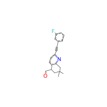 CC1(C)Cc2nc(C#Cc3cccc(F)c3)ccc2C(C=O)C1